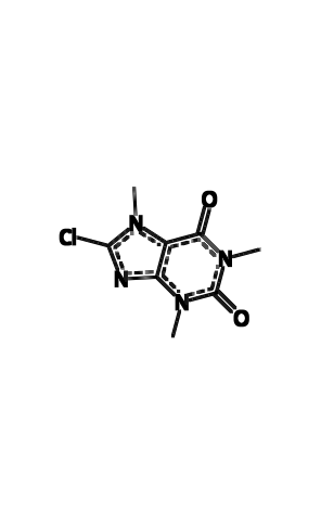 Cn1c(=O)c2c(nc(Cl)n2C)n(C)c1=O